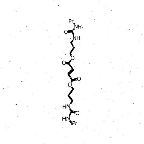 CC(C)NC(=O)NCCCOC(=O)/C=C/C(=O)OCCCNC(=O)NC(C)C